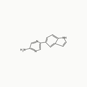 Nc1cnc(-c2ccc3[nH]ccc3c2)cn1